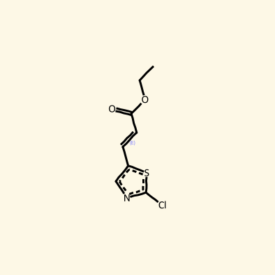 CCOC(=O)/C=C/c1cnc(Cl)s1